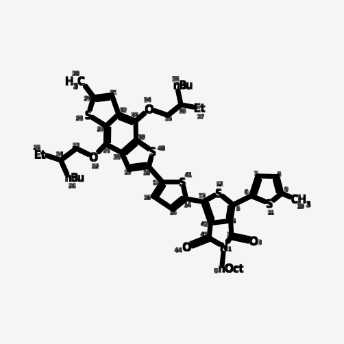 CCCCCCCCN1C(=O)c2c(-c3ccc(C)s3)sc(-c3ccc(-c4cc5c(OCC(CC)CCCC)c6sc(C)cc6c(OCC(CC)CCCC)c5s4)s3)c2C1=O